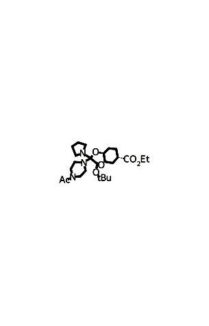 CCOC(=O)[C@H]1CC[C@H](OC(C(=O)OC(C)(C)C)(N2CCCC2)N2CCN(C(C)=O)CC2)CC1